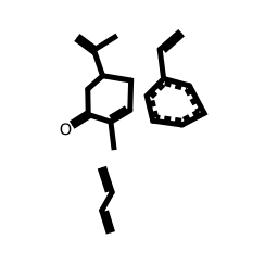 C=C(C)C1CC=C(C)C(=O)C1.C=CC=C.C=Cc1ccccc1